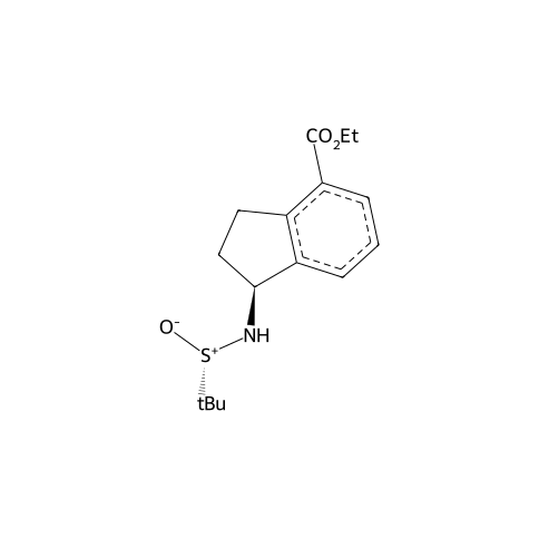 CCOC(=O)c1cccc2c1CC[C@@H]2N[S@@+]([O-])C(C)(C)C